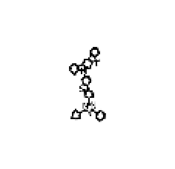 CC1(C)c2ccccc2-c2cc3c4ccccc4n(-c4ccc5c(c4)sc4cc(-c6nc(-c7ccccc7)nc(-c7ccccc7)n6)ccc45)c3cc21